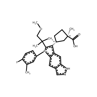 COCC(C)(C)c1c([C@@H]2CC[C@@](C)(C(=O)O)C2)c2cc3[nH]ncc3cc2n1-c1ccc(F)c(C)c1